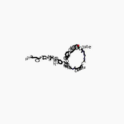 CCCOCCC(=O)N1CCN(c2ncc(CNC(=O)O[C@@H]3CC[C@@H](C[C@@H](N)[C@@H]4CC(N=[N+]=[N-])[C@H](C)/C=C(\C)[C@@H](O)[C@@H](OC)C(=O)[C@H](C)C[C@H](C)/C=C/C=C/C=C(\C)[C@@H](OC)C[C@@H]5CC[C@@H](C)[C@@](O)(O5)C(=O)C(=O)N5CCCC[C@H]5C(=O)O4)C[C@H]3OC)cn2)CC1